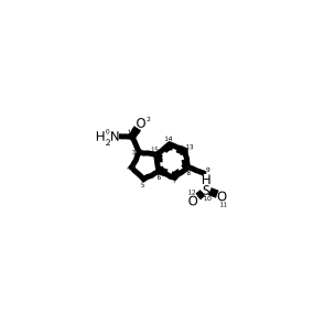 NC(=O)C1CCc2cc(C[SH](=O)=O)ccc21